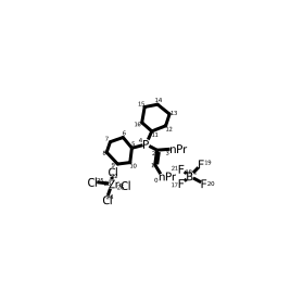 CCCC=C(CCC)P(C1CCCCC1)C1CCCCC1.F[B-](F)(F)F.[Cl][Zr]([Cl])([Cl])[Cl]